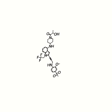 COc1cc(S(C)(=O)=O)ccc1NCC#Cc1cc2c(NC3CCN(C(=O)C(C)O)CC3)cccc2n1CC(F)(F)F